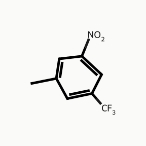 Cc1cc([N+](=O)[O-])cc(C(F)(F)F)c1